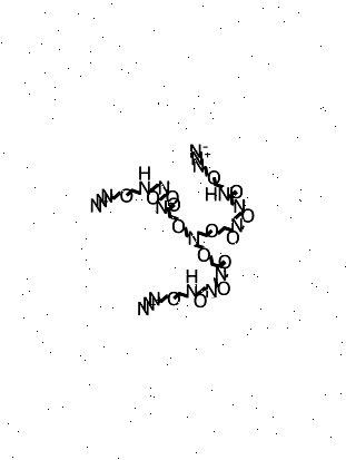 CN(CC(=O)NCCOCCN=[N+]=[N-])C(=O)CN(C)C(=O)CCOCCN(CCOCCC(=O)N(C)CC(=O)N(C)CC(=O)NCCOCCN=[N+]=[N-])CCOCCC(=O)N(C)CC(=O)N(C)CC(=O)NCCOCCN=[N+]=[N-]